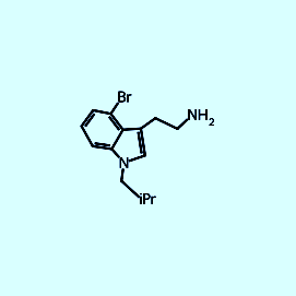 CC(C)Cn1cc(CCN)c2c(Br)cccc21